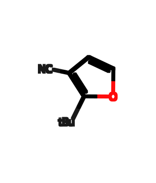 CC(C)(C)c1occc1C#N